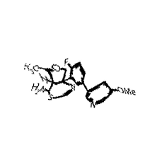 COc1cncc(-c2ccc(F)c([C@]34CO[C@H](C)[C@H]3C(N)SC=N4)c2)c1